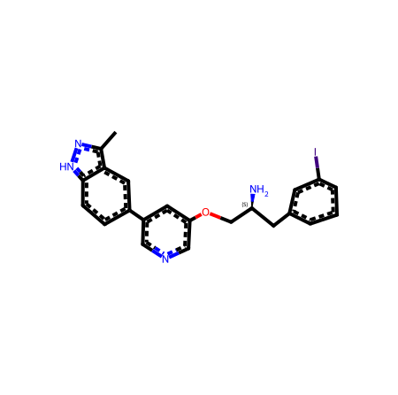 Cc1n[nH]c2ccc(-c3cncc(OC[C@@H](N)Cc4cccc(I)c4)c3)cc12